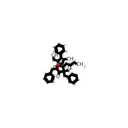 CCCCC(Cc1ccccc1)C(=O)C([C]=O)(Cc1ccccc1)C(CCCC)C(=O)C(CC)Cc1ccccc1